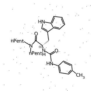 CCCCCN(CCCCC)C(=O)[C@H](Cc1c[nH]c2ccccc12)NC(=O)Nc1ccc(C)cc1